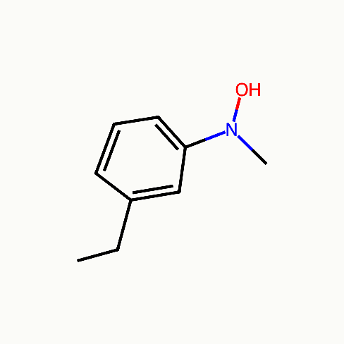 CCc1cccc(N(C)O)c1